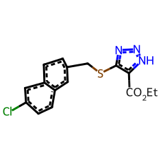 CCOC(=O)c1[nH]nnc1SCc1ccc2cc(Cl)ccc2c1